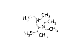 CCN(C=C(C(C)[SiH3])N(CC)CC)CC